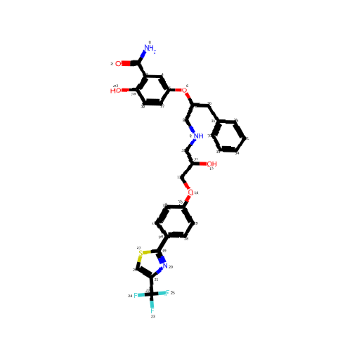 NC(=O)c1cc(OC(CNCC(O)COc2ccc(-c3nc(C(F)(F)F)cs3)cc2)Cc2ccccc2)ccc1O